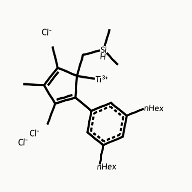 CCCCCCc1cc(CCCCCC)cc(C2=C(C)C(C)=C(C)[C]2([Ti+3])C[SiH](C)C)c1.[Cl-].[Cl-].[Cl-]